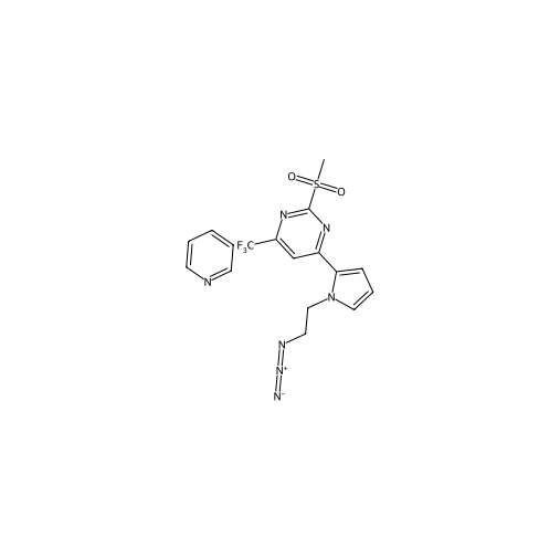 CS(=O)(=O)c1nc(-c2cccn2CCN=[N+]=[N-])cc(C(F)(F)F)n1.c1ccncc1